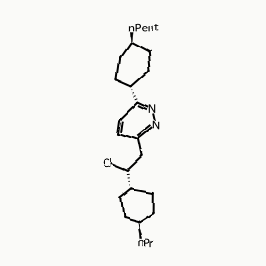 CCCCC[C@H]1CC[C@H](c2ccc(CC(Cl)[C@H]3CC[C@H](CCC)CC3)nn2)CC1